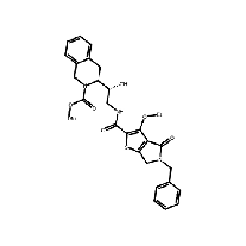 CCOc1c(C(=O)NC[C@@H](O)[C@@H]2Cc3ccccc3CN2C(=O)OC(C)(C)C)sc2c1C(=O)N(Cc1ccccc1)C2